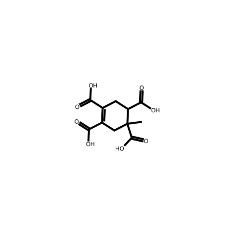 CC1(C(=O)O)CC(C(=O)O)=C(C(=O)O)CC1C(=O)O